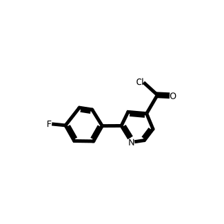 O=C(Cl)c1ccnc(-c2ccc(F)cc2)c1